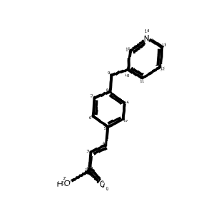 O=C(O)C=Cc1ccc(Cc2cccnc2)cc1